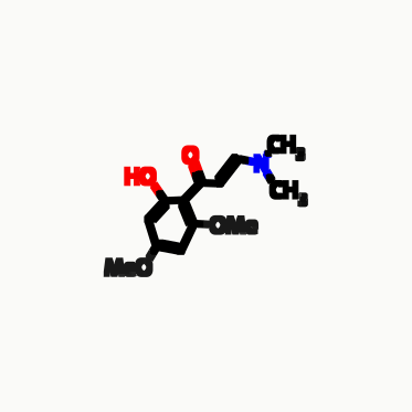 COc1cc(O)c(C(=O)C=CN(C)C)c(OC)c1